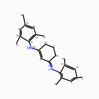 Cc1cc(C)c(/N=C2/C=C(Nc3c(C)cc(C)cc3C)CCC2)c(C)c1